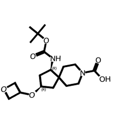 CC(C)(C)OC(=O)N[C@@H]1C[C@H](OC2COC2)CC12CCN(C(=O)O)CC2